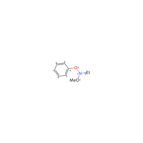 CCN(OC)Oc1ccccc1